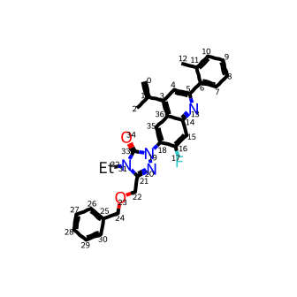 C=C(C)c1cc(-c2ccccc2C)nc2cc(F)c(-n3nc(COCc4ccccc4)n(CC)c3=O)cc12